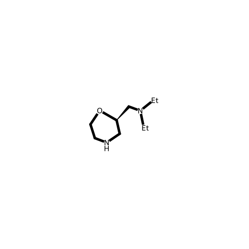 CCN(CC)C[C@H]1CNCCO1